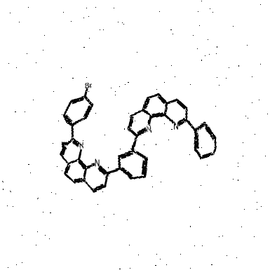 Brc1ccc(-c2ccc3ccc4ccc(-c5cccc(-c6ccc7ccc8ccc(-c9ccccc9)nc8c7n6)c5)nc4c3n2)cc1